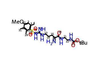 COc1cc(C)c(S(=O)(=O)NC(=N)NCCC[C@H](N)C(=O)NCCNC(=O)OC(C)(C)C)c(C)c1C